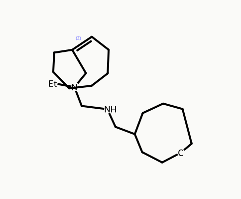 CCN(CNCC1CCCCCCC1)C/C1=C\CCCCCC1